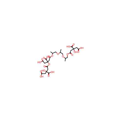 CC(COC(=O)CC(O)(CC(=O)O)C(=O)O)OCC(C)OCC(C)OC(=O)CC(CC(=O)O)(OC(=O)CC(O)(CC(=O)O)C(=O)O)C(=O)O